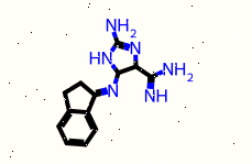 N=C(N)C1N=C(N)NC1N=C1CCc2ccccc21